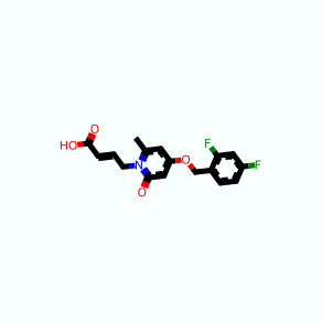 Cc1cc(OCc2ccc(F)cc2F)cc(=O)n1CC=CC(=O)O